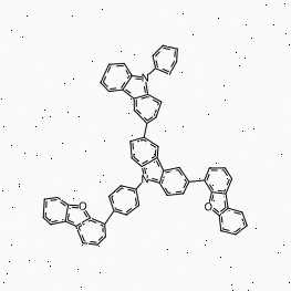 c1ccc(-n2c3ccccc3c3cc(-c4ccc5c(c4)c4cc(-c6cccc7c6oc6ccccc67)ccc4n5-c4ccc(-c5cccc6c5oc5ccccc56)cc4)ccc32)cc1